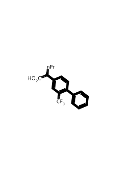 CCCC(C(=O)O)c1ccc(-c2ccccc2)c(C(F)(F)F)c1